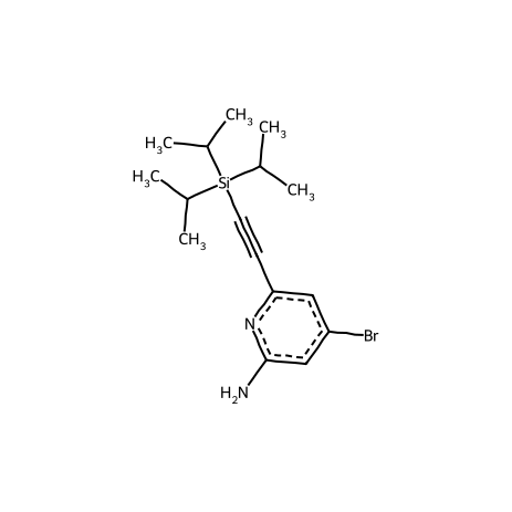 CC(C)[Si](C#Cc1cc(Br)cc(N)n1)(C(C)C)C(C)C